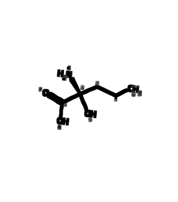 CCC[C@](N)(O)C(=O)O